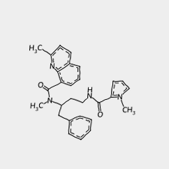 Cc1ccc2cccc(C(=O)N(C)C(CCNC(=O)c3cccn3C)Cc3ccccc3)c2n1